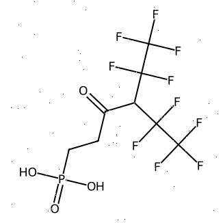 O=C(CCP(=O)(O)O)C(C(F)(F)C(F)(F)F)C(F)(F)C(F)(F)F